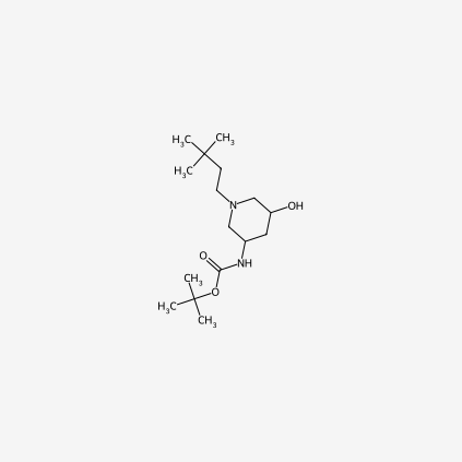 CC(C)(C)CCN1CC(O)CC(NC(=O)OC(C)(C)C)C1